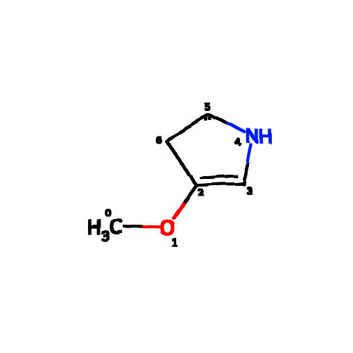 COC1=CN[C]C1